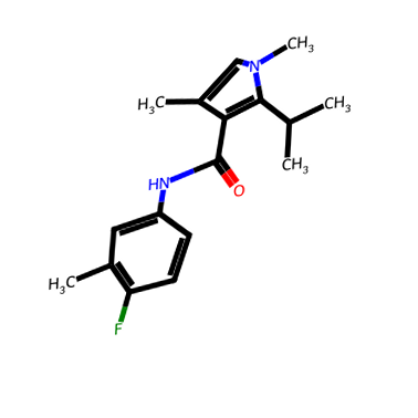 Cc1cc(NC(=O)c2c(C)cn(C)c2C(C)C)ccc1F